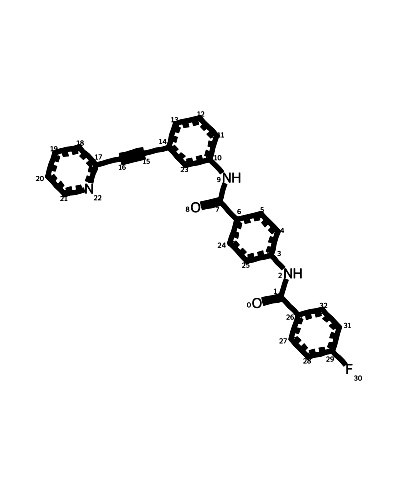 O=C(Nc1ccc(C(=O)Nc2cccc(C#Cc3ccccn3)c2)cc1)c1ccc(F)cc1